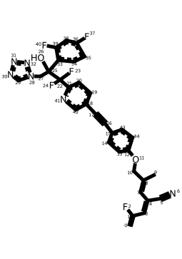 C=C(F)/C=C(C#N)\C=C(/C)COc1ccc(C#Cc2ccc(C(F)(F)C(O)(Cn3cnnn3)c3ccc(F)cc3F)nc2)cc1